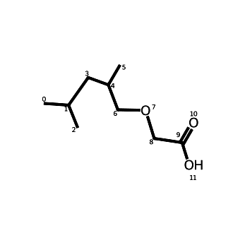 CC(C)CC(C)COCC(=O)O